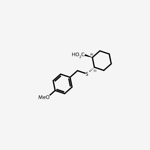 COc1ccc(CS[C@H]2CCCC[C@@H]2C(=O)O)cc1